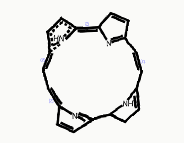 C1=C/C2=c3\cc/c([nH]3)=C/C=C3/C=CC(=N3)C3CC=C(/C=C\C1=N2)N3